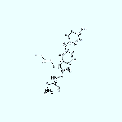 CCOCCn1c(CNC(=O)CN)nc2ccc(Oc3ccc(F)cc3)cc21